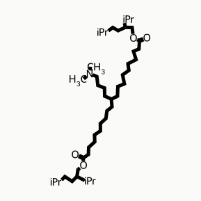 CC(C)CCC(COC(=O)CCCCCCCCCC(CCCCCCCCCC(=O)OCC(CCC(C)C)C(C)C)CCCCN(C)C)C(C)C